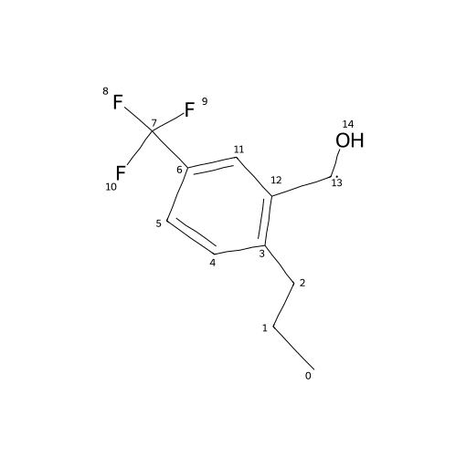 CCCc1ccc(C(F)(F)F)cc1[CH]O